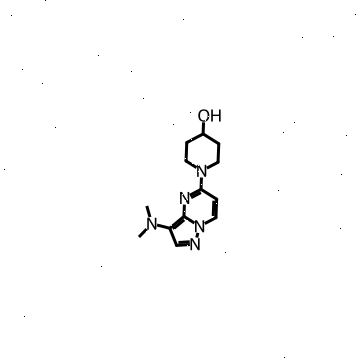 CN(C)c1cnn2ccc(N3CCC(O)CC3)nc12